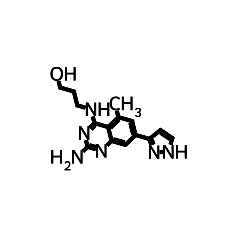 Cc1cc(-c2cc[nH]n2)cc2nc(N)nc(NCCCO)c12